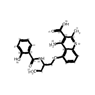 CCC(COc1cccc2nc(C)c(C(=O)O)c(N)c12)NC(=O)c1ccccc1O